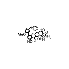 COc1ccc(CN2CCOCC2)cc1-c1ccc(O)c2c1CC1CC3CC(O)=C(C(N)=O)C(C)(O)C3C(O)=C1C2=O